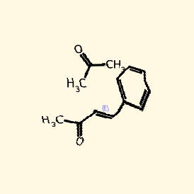 CC(=O)/C=C/c1ccccc1.CC(C)=O